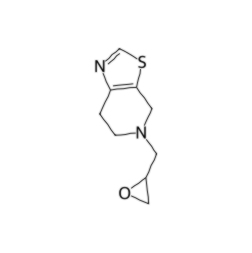 c1nc2c(s1)CN(CC1CO1)CC2